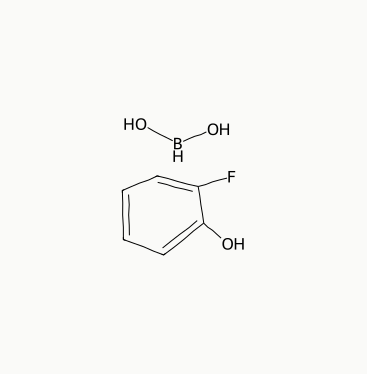 OBO.Oc1ccccc1F